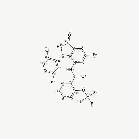 O=C(Nc1cc(Br)cc2c1C(c1cc(F)ccc1Cl)NC2=O)c1ccccc1OC(F)(F)F